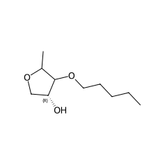 CCCCCOC1C(C)OC[C@H]1O